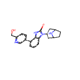 O=c1[nH]c2c(-c3ccc(CO)nc3)cccc2n1C1CC2CCC(C1)N2